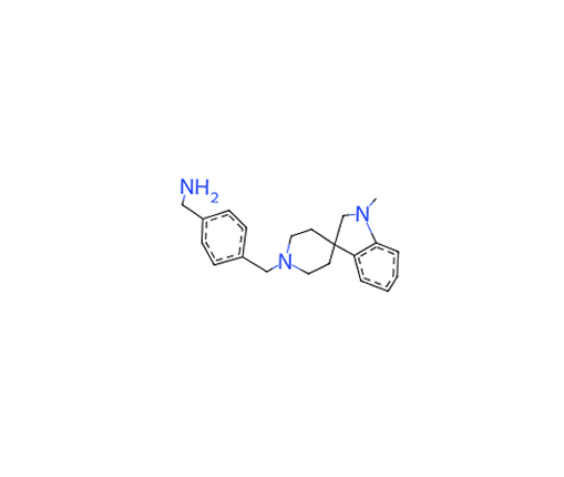 CN1CC2(CCN(Cc3ccc(CN)cc3)CC2)c2ccccc21